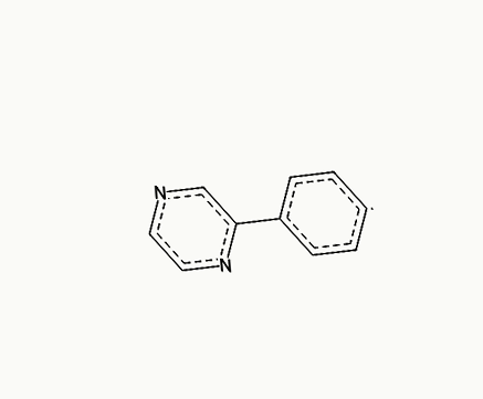 [c]1ccc(-c2cnccn2)cc1